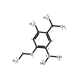 CCOc1cc(C)c(C(C)C)cc1B(O)O